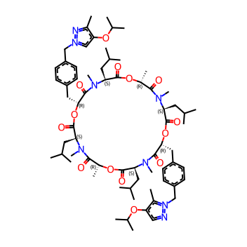 Cc1nn(Cc2ccc(C[C@H]3OC(=O)[C@H](CC(C)C)N(C)C(=O)[C@@H](C)OC(=O)[C@H](CC(C)C)N(C)C(=O)[C@@H](Cc4ccc(Cn5ncc(OC(C)C)c5C)cc4)OC(=O)[C@H](CC(C)C)N(C)C(=O)[C@@H](C)OC(=O)[C@H](CC(C)C)N(C)C3=O)cc2)cc1OC(C)C